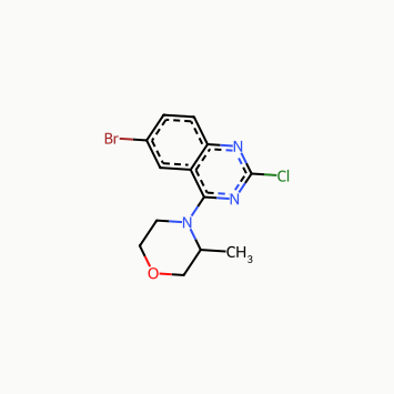 CC1COCCN1c1nc(Cl)nc2ccc(Br)cc12